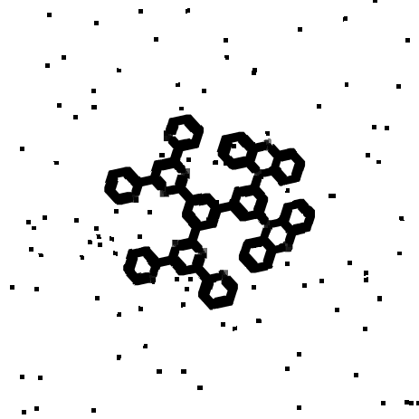 c1ccc(-c2cc(-c3ccccn3)nc(-c3cc(-c4cc(N5c6ccccc6Oc6ccccc65)cc(N5c6ccccc6Sc6ccccc65)c4)cc(-c4nc(-c5ccccn5)cc(-c5ccccn5)n4)c3)n2)nc1